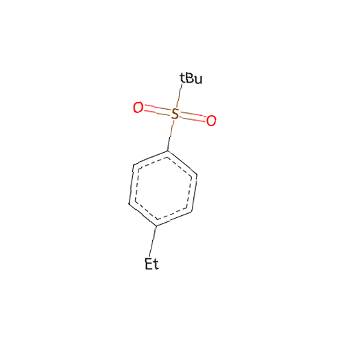 CCc1ccc(S(=O)(=O)C(C)(C)C)cc1